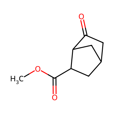 COC(=O)C1CC2CC(=O)C1C2